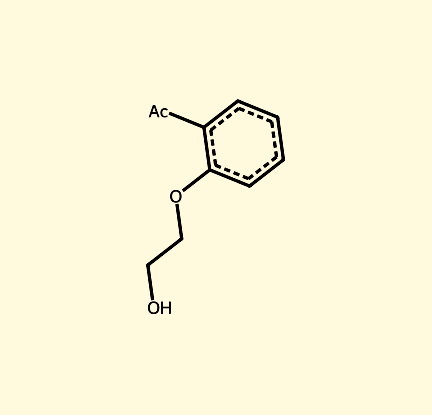 CC(=O)c1ccccc1OCCO